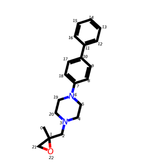 CC1(CN2CCN(c3ccc(-c4ccccc4)cc3)CC2)CO1